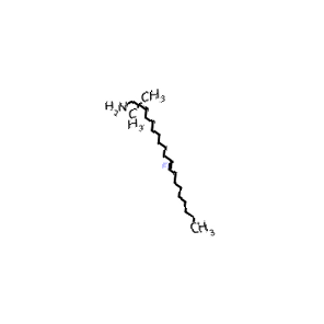 CCCCCCCC/C=C/CCCCCCCCC(C)(C)CN